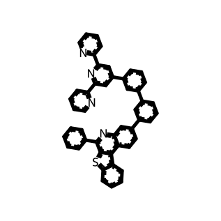 c1ccc(-c2nc3cc(-c4cccc(-c5cccc(-c6cc(-c7ccccn7)nc(-c7ccccn7)c6)c5)c4)ccc3c3c2sc2ccccc23)cc1